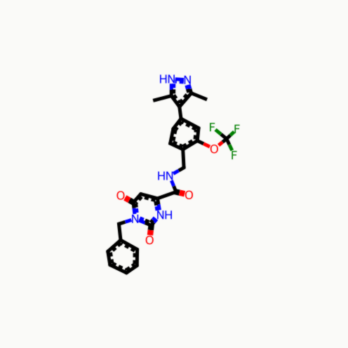 Cc1n[nH]c(C)c1-c1ccc(CNC(=O)c2cc(=O)n(Cc3ccccc3)c(=O)[nH]2)c(OC(F)(F)F)c1